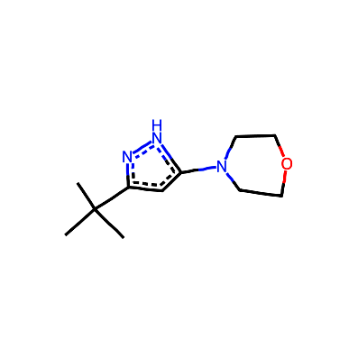 CC(C)(C)c1cc(N2CCOCC2)[nH]n1